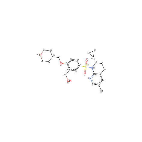 CCc1cnc2c(c1)CC[C@@H](C1CC1)N2S(=O)(=O)c1ccc(OCC2CCOCC2)c(CO)c1